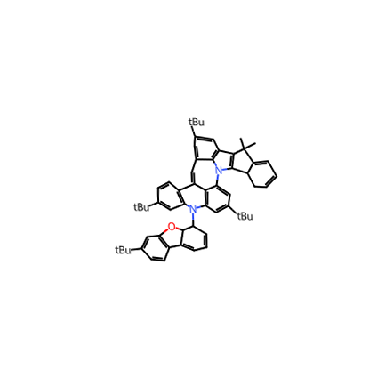 CC(C)(C)c1ccc2c(c1)OC1C2=CC=CC1n1c2cc(C(C)(C)C)cc3c2-c(cc2cc(C(C)(C)C)cc4c5c(n3c24)C2CC=CC=C2C5(C)C)c2ccc(C(C)(C)C)cc21